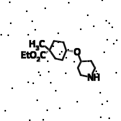 CCOC(=O)[C@]1(C)CC[C@H](OC2CCNCC2)CC1